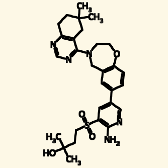 CC(C)(O)CCS(=O)(=O)c1cc(-c2ccc3c(c2)CN(c2ncnc4c2CC(C)(C)CC4)CCO3)cnc1N